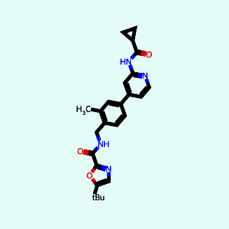 Cc1cc(-c2ccnc(NC(=O)C3CC3)c2)ccc1CNC(=O)c1ncc(C(C)(C)C)o1